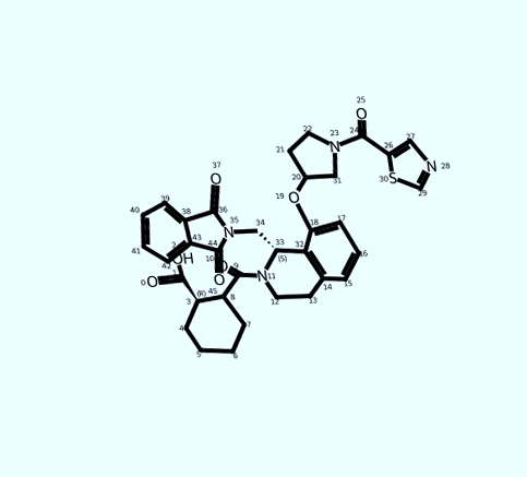 O=C(O)[C@@H]1CCCCC1C(=O)N1CCc2cccc(OC3CCN(C(=O)c4cncs4)C3)c2[C@H]1CN1C(=O)c2ccccc2C1=O